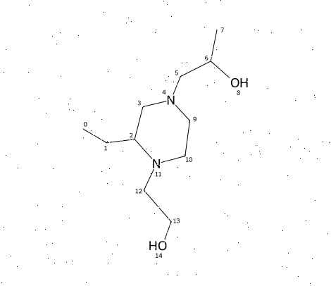 CCC1CN(CC(C)O)CCN1CCO